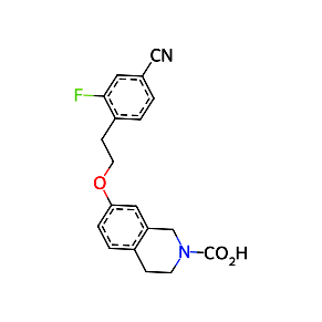 N#Cc1ccc(CCOc2ccc3c(c2)CN(C(=O)O)CC3)c(F)c1